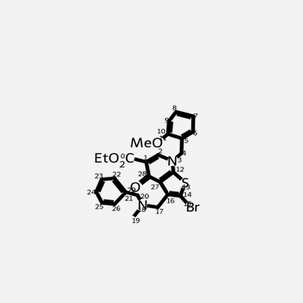 CCOC(=O)c1cn(Cc2ccccc2OC)c2sc(Br)c(CN(C)Cc3ccccc3)c2c1=O